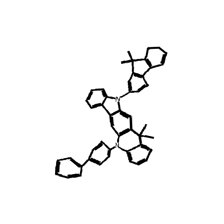 CC1(C)C2=C(C=CCC2)c2ccc(-n3c4ccccc4c4cc5c(cc43)C(C)(C)c3ccccc3N5c3ccc(-c4ccccc4)cc3)cc21